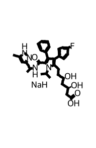 Cc1cc(C(C)NC(=O)c2c(-c3ccccc3)c(-c3ccc(F)cc3)c(CC[C@@H](O)C[C@@H](O)CC(=O)O)n2C(C)C)n[nH]1.[NaH]